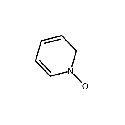 [O]N1C=CC=CC1